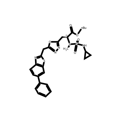 CCCCOC(=O)[C@H](Cc1nnc(Cc2nc3ccc(-c4ccccc4)cc3s2)o1)N(C)S(=O)(=O)NC1CC1